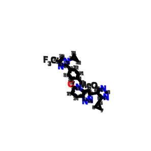 COc1ncnc(C2CC2)c1-c1cc2c(ccc(=O)n2Cc2ccc(-c3nc(C(F)(F)F)cn3C3CC3)cc2)nn1